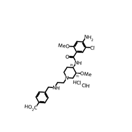 COc1cc(N)c(Cl)cc1C(=O)N[C@@H]1CCN(CCNCc2ccc(C(=O)O)cc2)C[C@@H]1OC.Cl.Cl